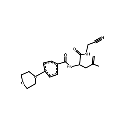 C=C(C)CC(NC(=O)c1ccc(N2CCOCC2)cc1)C(=O)NCC#N